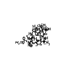 COC(=O)CN1CCN(CC(=O)NC(C(=O)N2C[C@H](O)C[C@H]2C(=O)N[C@@H](C)c2ccc(-c3scnc3C)cc2)C(C)(C)C)CC1